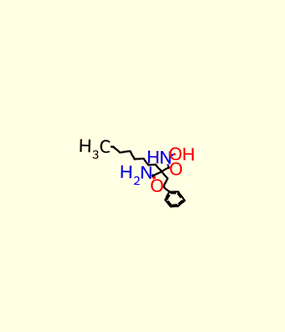 CCCCCCCCC(CCc1ccccc1)(C(N)=O)C(=O)NO